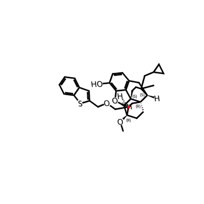 CO[C@]12CC[C@@]3(C[C@@H]1COCc1cc4ccccc4s1)[C@H]1Cc4ccc(O)c5c4[C@@]3(CCC1(C)CC1CC1)[C@H]2O5